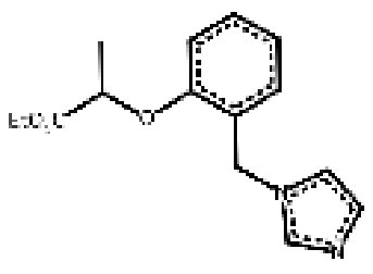 CCOC(=O)C(C)Oc1ccccc1Cn1ccnc1